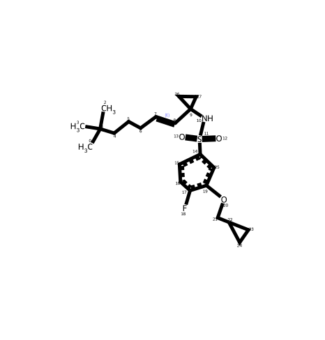 CC(C)(C)CCC/C=C/C1(NS(=O)(=O)c2ccc(F)c(OCC3CC3)c2)CC1